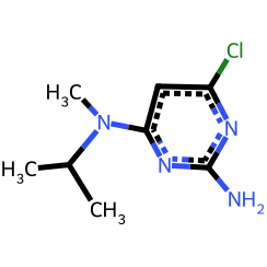 CC(C)N(C)c1cc(Cl)nc(N)n1